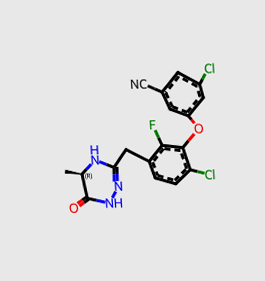 C[C@H]1NC(Cc2ccc(Cl)c(Oc3cc(Cl)cc(C#N)c3)c2F)=NNC1=O